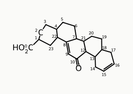 O=C(O)C1CCC2CCC3C(=CC(=O)C4C5CC=CCC5CCC34)C2C1